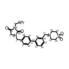 CC(C)CN1C(=O)CN(Cc2ccc(-c3cccc(CN4CCS(=O)(=O)CC4)c3)cc2)C1=O